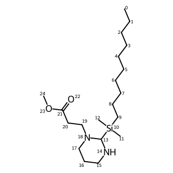 CCCCCCCCCC[Si](C)(C)C1NCCCN1CCC(=O)OC